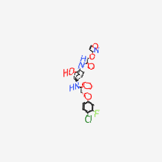 O=C(COc1ccc(Cl)c(F)c1)NC12CCC(NC(=O)COc3ccon3)(CC1)C(O)C2